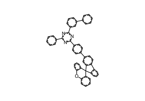 c1ccc(-c2cccc(-c3nc(-c4ccccc4)nc(-c4ccc(-c5ccc6c(c5)C5(c7ccccc7Oc7ccccc75)c5ccccc5-6)cc4)n3)c2)cc1